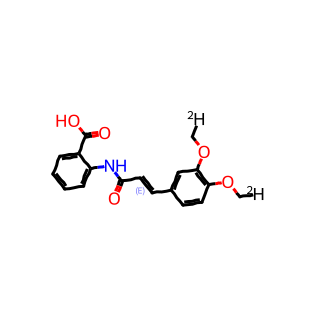 [2H]COc1ccc(/C=C/C(=O)Nc2ccccc2C(=O)O)cc1OC[2H]